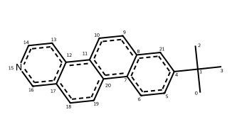 CC(C)(C)c1ccc2c(ccc3c4ccncc4ccc23)c1